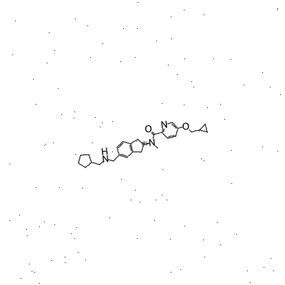 CN(C(=O)c1ccc(OCC2CC2)cn1)[C@@H]1Cc2ccc(CNCC3CCCC3)cc2C1